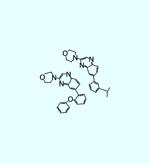 CC(C)c1cccc(-c2ccc3ncc(N4CCOCC4)nc3c2)c1.c1ccc(Oc2ccccc2-c2ccc3ncc(N4CCOCC4)nc3c2)cc1